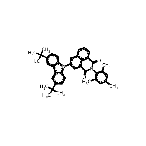 Cc1cc(C)c(N2C(=O)c3cccc4cc(-n5c6ccc(C(C)(C)C)cc6c6cc(C(C)(C)C)ccc65)cc(c34)C2=O)c(C)c1